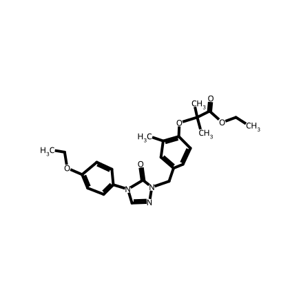 CCOC(=O)C(C)(C)Oc1ccc(Cn2ncn(-c3ccc(OCC)cc3)c2=O)cc1C